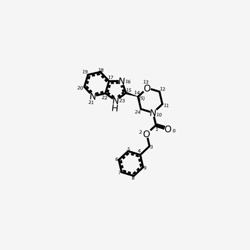 O=C(OCc1ccccc1)N1CCO[C@H](c2nc3cccnc3[nH]2)C1